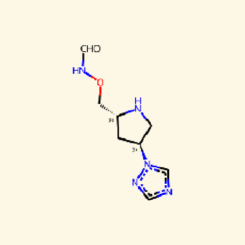 O=CNOC[C@H]1C[C@H](n2cncn2)CN1